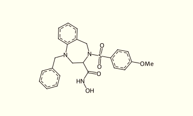 COc1ccc(S(=O)(=O)N2Cc3ccccc3N(Cc3ccccc3)CC2C(=O)NO)cc1